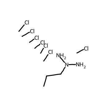 CCCN(N)N.CCl.CCl.CCl.CCl.CCl.CCl.CCl